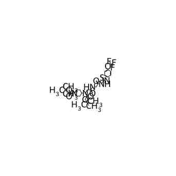 CC(C)(C)OC(=O)N1CCC(N(CC(=O)NCC(=O)Nc2nc3ccc(OC(F)(F)F)cc3s2)C(=O)OC(C)(C)C)CC1